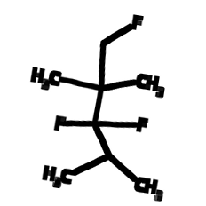 CC(C)C(F)(F)C(C)(C)CF